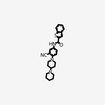 N#Cc1cc(NC(=O)c2cc3ccccc3s2)ccc1N1CCC(N2CCCCC2)CC1